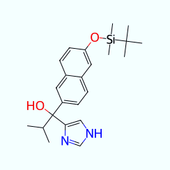 CC(C)C(O)(c1ccc2cc(O[Si](C)(C)C(C)(C)C)ccc2c1)c1c[nH]cn1